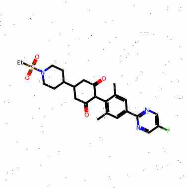 CCS(=O)(=O)N1CCC(C2CC(=O)C(c3c(C)cc(-c4ncc(F)cn4)cc3C)C(=O)C2)CC1